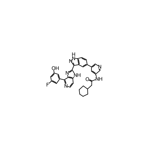 O=C(CC1CCCCC1)Nc1cncc(-c2ccc3[nH]nc(-c4nc5c(-c6cc(O)cc(F)c6)nccc5[nH]4)c3c2)c1